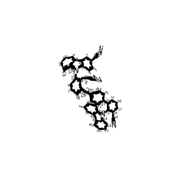 N#Cc1ccc2c(c1)c1ccccc1n2-c1cccc(-c2ccc(-c3cccc(C#N)c3-n3c4ccccc4c4ccccc43)cc2)c1C#N